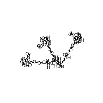 CC(=O)N[C@@H]1[C@H](OCCOCCOCCOCC(=O)NCCCC[C@H](NC(=O)[C@H](CCCCNC(=O)COCCOCCOCCO[C@@H]2O[C@H](COC(C)=O)[C@H](OC(C)=O)[C@H](OC(C)=O)[C@@H]2NC(C)=O)NC(=O)COCCOCCOCCO[C@@H]2O[C@H](COC(C)=O)[C@H](OC(C)=O)[C@H](OC(C)=O)[C@@H]2NC(C)=O)C(=O)O)O[C@H](COC(C)=O)[C@H](OC(C)=O)[C@@H]1OC(C)=O